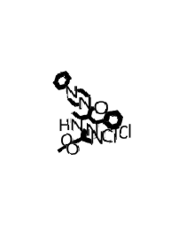 CC1=C(C(=O)N2CCN(c3ccccc3)CC2)C(c2cccc(Cl)c2Cl)n2ncc(C3OC(C)O3)c2N1